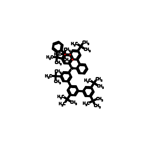 CC(C)(C)c1cc(-c2cc(N(c3ccc4c(c3)C(C)(C)c3ccccc3-4)c3ccccc3-c3cc(C(C)(C)C)cc(C(C)(C)C)c3)cc(C(C)(C)C)c2)cc(-c2cc(C(C)(C)C)cc(C(C)(C)C)c2)c1